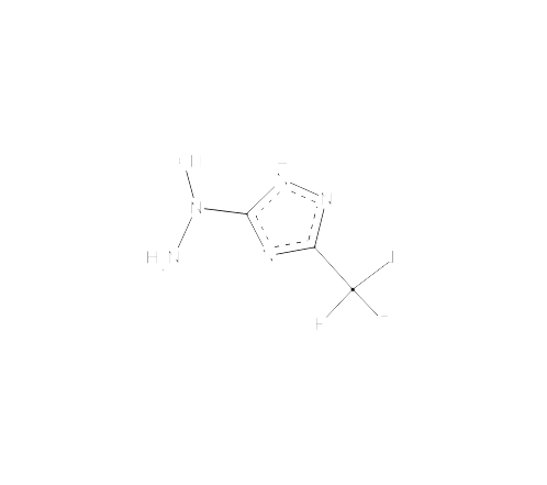 CN(N)c1nc(C(F)(F)F)n[nH]1